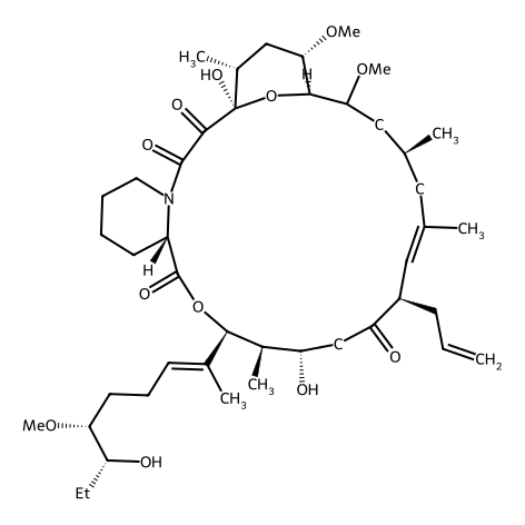 C=CC[C@@H]1/C=C(\C)C[C@H](C)CC(OC)[C@H]2O[C@@](O)(C(=O)C(=O)N3CCCC[C@H]3C(=O)O[C@H](/C(C)=C/CC[C@@H](OC)[C@H](O)CC)[C@H](C)[C@@H](O)CC1=O)[C@H](C)C[C@@H]2OC